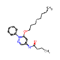 CCCCCCCCOc1c/c(=N\C(=O)CCC)cnn1-c1ccccc1